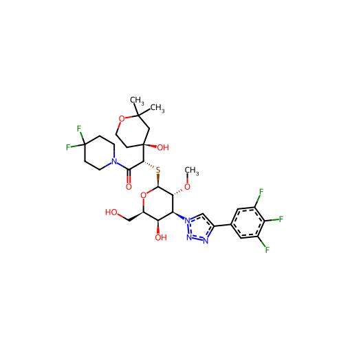 CO[C@@H]1[C@@H](n2cc(-c3cc(F)c(F)c(F)c3)nn2)[C@@H](O)[C@@H](CO)O[C@H]1S[C@H](C(=O)N1CCC(F)(F)CC1)[C@]1(O)CCOC(C)(C)C1